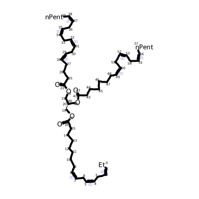 CC/C=C\C/C=C\C/C=C\CCCCCCCC(=O)OC[C@H](COC(=O)CCC/C=C\C/C=C\C/C=C\C/C=C\CCCCC)OC(=O)CCCCCC/C=C\C/C=C\C/C=C\CCCCC